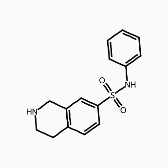 O=S(=O)(Nc1ccccc1)c1ccc2c(c1)CNCC2